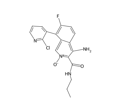 CCCNC(=O)c1c(N)c2ccc(F)c(-c3cccnc3Cl)c2c[n+]1[O-]